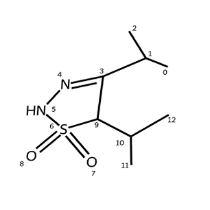 CC(C)C1=NNS(=O)(=O)C1C(C)C